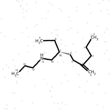 C=C(CCC)CC[C@@H](CC)CNCCC